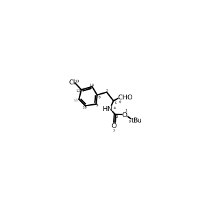 CC(C)(C)OC(=O)NC(C=O)Cc1cccc(Cl)c1